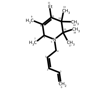 C=C/C=C\CN1C(C)C(C)=C(CC)C(C)(C)C1(C)C